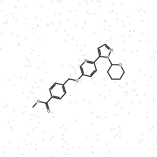 COC(=O)c1ccc(COc2ccc(-c3ccnn3C3CCCCO3)nc2)cc1